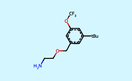 CC(C)(C)c1cc(COCCN)cc(OC(F)(F)F)c1